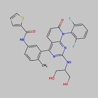 Cc1ccc(NC(=O)c2cccs2)cc1-c1nc(NC(CO)CO)nc2c1ccc(=O)n2-c1c(F)cccc1F